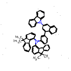 CC1(C)c2ccccc2-c2c(N(c3cccc(-c4cc(-n5c6ccccc6c6ccccc65)cc5ccccc45)c3)c3cccc4c3-c3ccccc3C4(C)C)cccc21